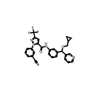 N#Cc1cccc(-n2nc(C(F)(F)F)cc2C(=O)Nc2cccc(C(OCC3CC3)c3cccnc3)c2)c1